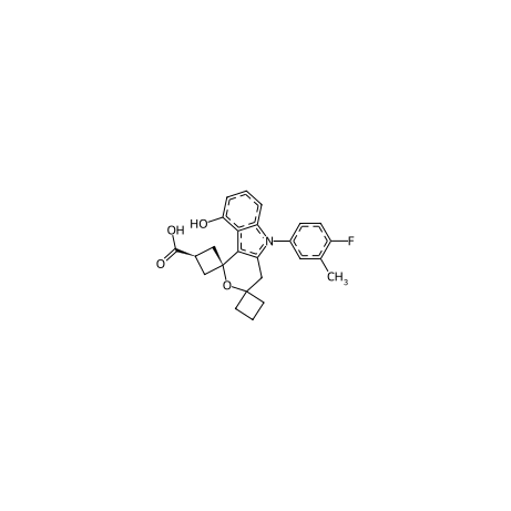 Cc1cc(-n2c3c(c4c(O)cccc42)[C@]2(C[C@H](C(=O)O)C2)OC2(CCC2)C3)ccc1F